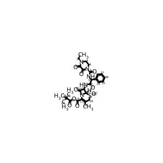 CCN1CCN(C(=O)NC(C(=O)NC2C(=O)N3C(C(=O)OC(=O)C(C)(C)C)=C(C)C[S+]([O-])[C@H]23)c2ccccc2)C(=O)C1=O